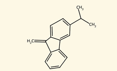 C=C1c2ccccc2-c2cc(C(C)C)ccc21